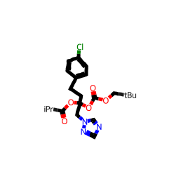 CC(C)C(=O)OC(CCc1ccc(Cl)cc1)(Cn1cncn1)OC(=O)OCC(C)(C)C